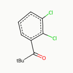 CC(C)(C)C(=O)c1cccc(Cl)c1Cl